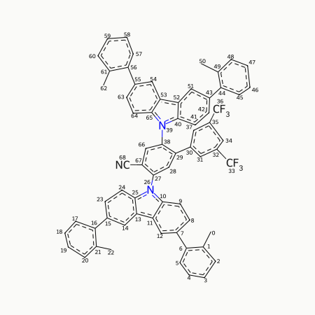 Cc1ccccc1-c1ccc2c(c1)c1cc(-c3ccccc3C)ccc1n2-c1cc(-c2cc(C(F)(F)F)cc(C(F)(F)F)c2)c(-n2c3ccc(-c4ccccc4C)cc3c3cc(-c4ccccc4C)ccc32)cc1C#N